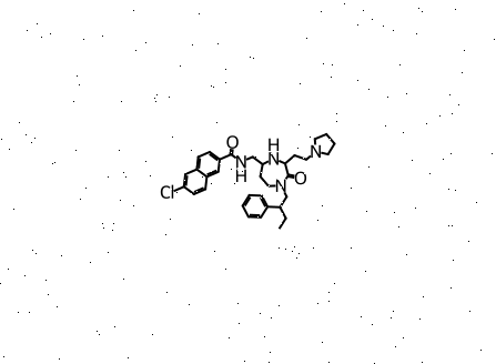 CCC(CN1CCC(CNC(=O)c2ccc3cc(Cl)ccc3c2)NC(CCN2CCCC2)C1=O)c1ccccc1